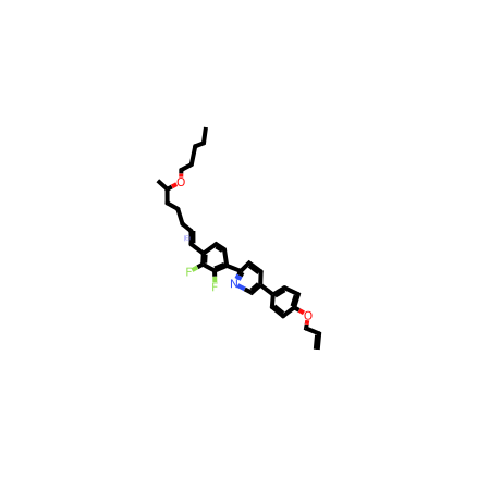 C=CCOc1ccc(-c2ccc(-c3ccc(/C=C/CCCC(C)OCCCCC)c(F)c3F)nc2)cc1